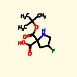 CC(C)(C)OC(=O)C1(C(=O)O)CC(F)CN1